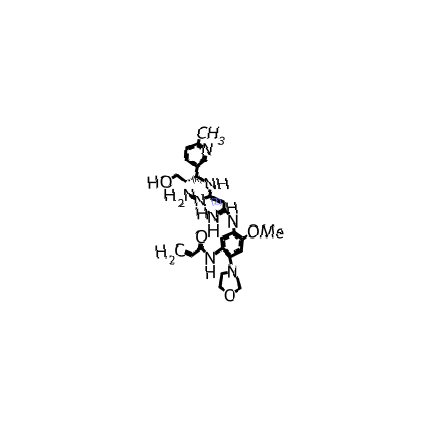 C=CC(=O)Nc1cc(NC(=N)/C=C(\NN)N[C@H](CCO)c2ccc(C)nc2)c(OC)cc1N1CCOCC1